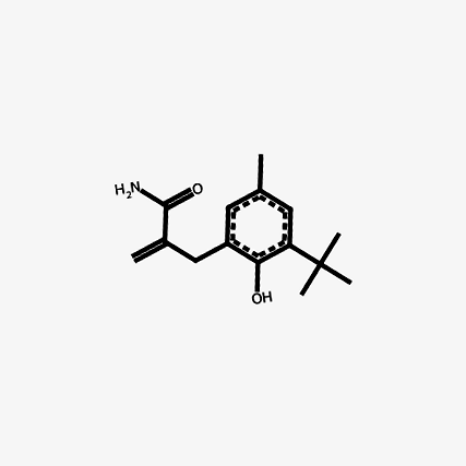 C=C(Cc1cc(C)cc(C(C)(C)C)c1O)C(N)=O